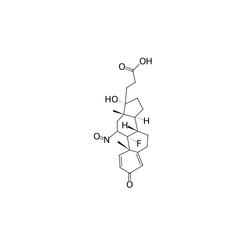 C[C@]12C=CC(=O)C=C1CC[C@H]1[C@@H]3CC[C@](O)(CCC(=O)O)[C@@]3(C)CC(N=O)[C@@]12F